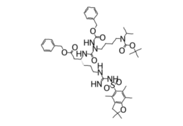 Cc1c(C)c(S(=O)(=O)NC(=N)NCCC[C@H](CC(=O)OCc2ccccc2)NC(=O)N(CCCCN(C(=O)OC(C)(C)C)C(C)C)NC(=O)OCc2ccccc2)c(C)c2c1OC(C)(C)C2